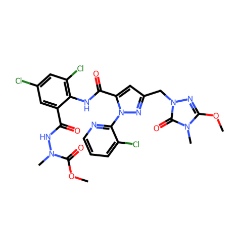 COC(=O)N(C)NC(=O)c1cc(Cl)cc(Cl)c1NC(=O)c1cc(Cn2nc(OC)n(C)c2=O)nn1-c1ncccc1Cl